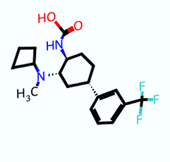 CN(C1CCC1)[C@H]1C[C@@H](c2cccc(C(F)(F)F)c2)CC[C@@H]1NC(=O)O